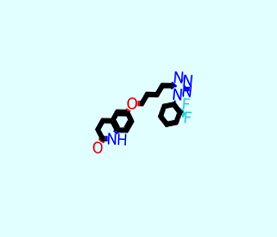 O=C1CCc2cc(OCCCCc3nnnn3[C@H]3CCCCC3(F)F)ccc2N1